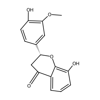 COc1cc([C@H]2CC(=O)c3cccc(O)c3O2)ccc1O